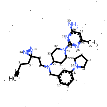 C#CCCC1(CCN(Cc2cccc(N3CCCC3)c2)C2CCN(c3nc(C)cc(N)n3)CC2)N=N1